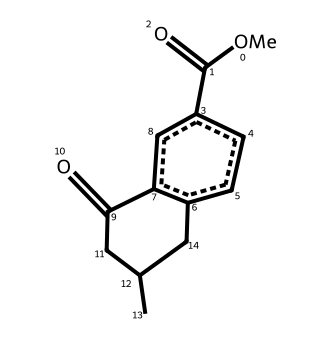 COC(=O)c1ccc2c(c1)C(=O)CC(C)C2